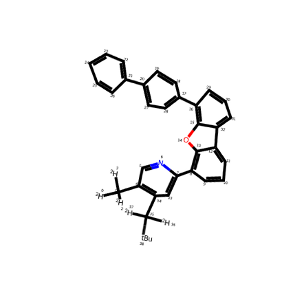 [2H]C([2H])([2H])c1cnc(-c2cccc3c2oc2c(-c4ccc(-c5ccccc5)cc4)cccc23)cc1C([2H])([2H])C(C)(C)C